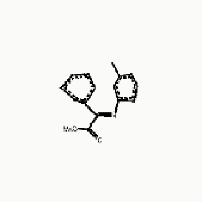 COC(=O)C(=Nc1cccc(C)c1)c1ccccc1